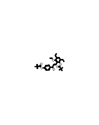 CCOc1c(CC)cc(CC)c(OC(=O)C(C)(C)C)c1/C=C/C(=O)c1ccc(OC(=O)C(C)(C)C)cc1